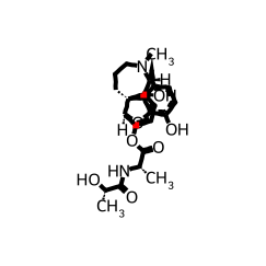 C[C@H](O)C(=O)N[C@@H](C)C(=O)OC1=CC[C@@]2(O)[C@H]3Cc4ccc(O)c5c4[C@@]2(CCCN3C)[C@H]1O5